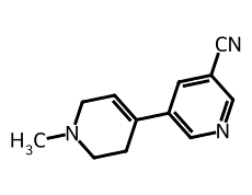 CN1CC=C(c2cncc(C#N)c2)CC1